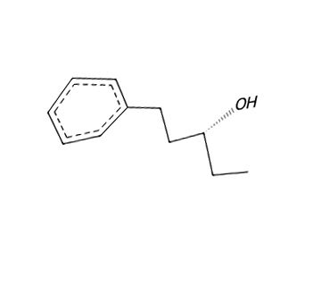 CC[C@@H](O)CCc1ccccc1